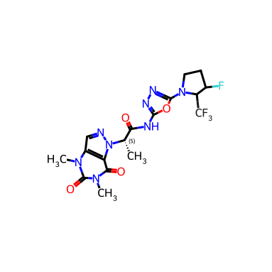 C[C@@H](C(=O)Nc1nnc(N2CCC(F)C2C(F)(F)F)o1)n1ncc2c1c(=O)n(C)c(=O)n2C